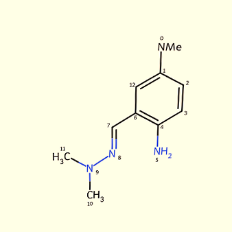 CNc1ccc(N)c(/C=N/N(C)C)c1